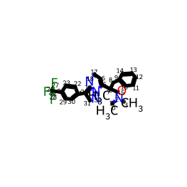 CCN(C)C(=O)C(C)(Cc1ccccc1)c1ccnc2c(-c3ccc(C(F)(F)F)cc3)cnn12